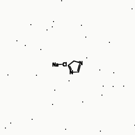 C1=NC=NC1.[Na][Cl]